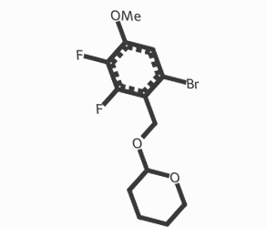 COc1cc(Br)c(COC2CCCCO2)c(F)c1F